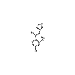 CCC(C)/C(=C\n1ccnc1)c1ccc(Cl)cc1Cl.Cl